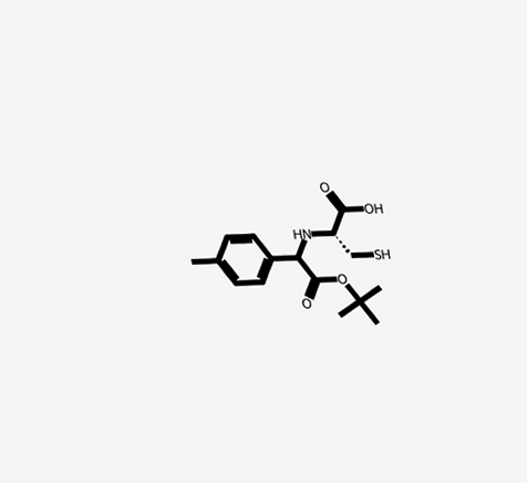 Cc1ccc(C(N[C@@H](CS)C(=O)O)C(=O)OC(C)(C)C)cc1